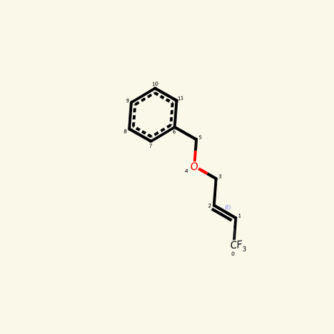 FC(F)(F)/C=C/COCc1ccccc1